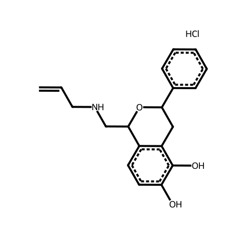 C=CCNCC1OC(c2ccccc2)Cc2c1ccc(O)c2O.Cl